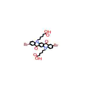 O=C(O)CCCCCn1c2ccc(Br)cc2c(=O)c2cc3c(cc21)c(=O)c1cc(Br)ccc1n3CCCCCC(=O)O